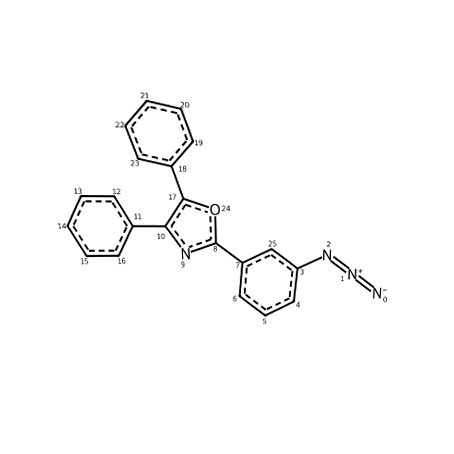 [N-]=[N+]=Nc1cccc(-c2nc(-c3ccccc3)c(-c3ccccc3)o2)c1